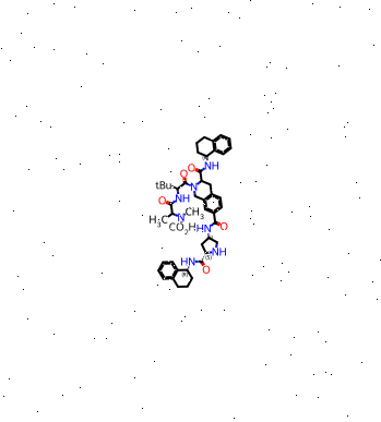 CC(C(=O)NC(C(=O)N1Cc2cc(C(=O)N[C@@H]3CN[C@H](C(=O)N[C@@H]4CCCc5ccccc54)C3)ccc2CC1C(=O)N[C@@H]1CCCc2ccccc21)C(C)(C)C)N(C)C(=O)O